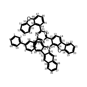 c1ccc(-c2cccc(-c3nc(-c4ccc5c(oc6ccccc65)c4-n4c5ccccc5c5cc6ccccc6cc54)nc(-c4cccc5oc6ccccc6c45)n3)c2)cc1